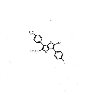 CCOC(=O)c1sc2c(-c3ccc(C)cc3)c(C(C)=O)sc2c1-c1ccc(C(F)(F)F)cc1